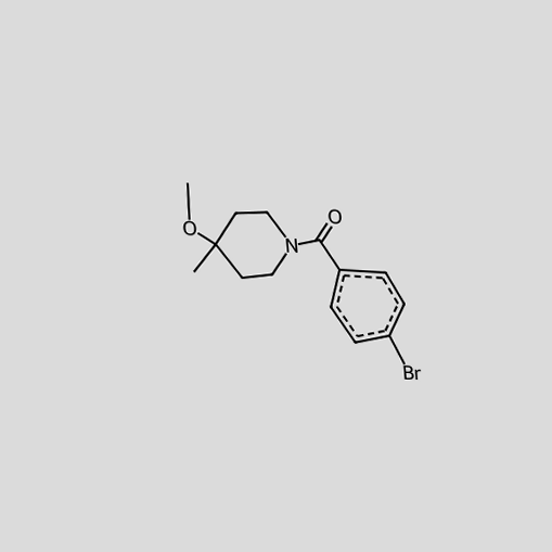 COC1(C)CCN(C(=O)c2ccc(Br)cc2)CC1